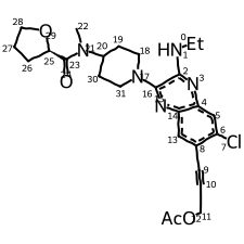 CCNc1nc2cc(Cl)c(C#CCOC(C)=O)cc2nc1N1CCC(N(C)C(=O)[C@H]2CCCO2)CC1